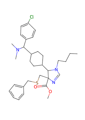 CCCCN1C=NC(CSCc2ccccc2)(C(=O)OC)C1C1CCC(C(c2ccc(Cl)cc2)N(C)C)CC1